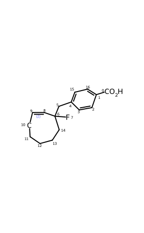 O=C(O)c1ccc(CC2(F)/C=C\CCCCC2)cc1